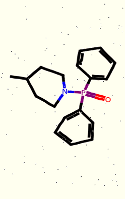 CC1CCN(P(=O)(c2ccccc2)c2ccccc2)CC1